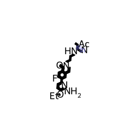 CCOc1ccc(-c2cc3ccn(CCCCNC(/C=N\C)=C(\C)C(C)=O)c(=O)c3cc2F)nc1N